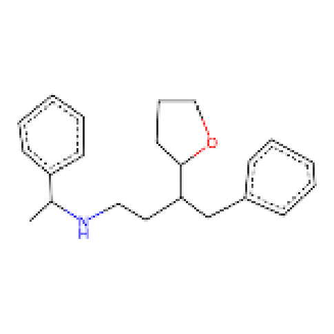 CC(NCCC(Cc1ccccc1)C1CCCO1)c1ccccc1